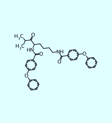 CC(C)C(=O)C(CCCCNC(=O)c1ccc(Oc2ccccc2)cc1)NC(=O)c1ccc(Oc2ccccc2)cc1